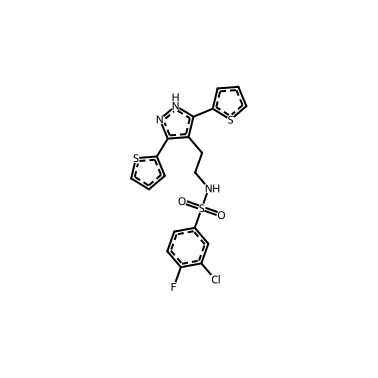 O=S(=O)(NCCc1c(-c2cccs2)n[nH]c1-c1cccs1)c1ccc(F)c(Cl)c1